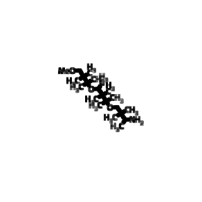 COCC(C)(C)C(C)(C)OC(C)C(C)(C)C(C)(C)OCC(C)(C)C(C)N